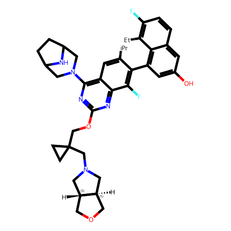 CCc1c(F)ccc2cc(O)cc(-c3c(C(C)C)cc4c(N5CC6CCC(C5)N6)nc(OCC5(CN6C[C@H]7COC[C@@H]7C6)CC5)nc4c3F)c12